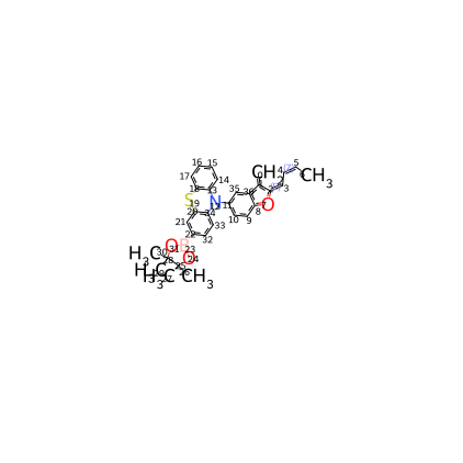 C=c1/c(=C\C=C/C)oc2ccc(N3c4ccccc4Sc4cc(B5OC(C)(C)C(C)(C)O5)ccc43)cc12